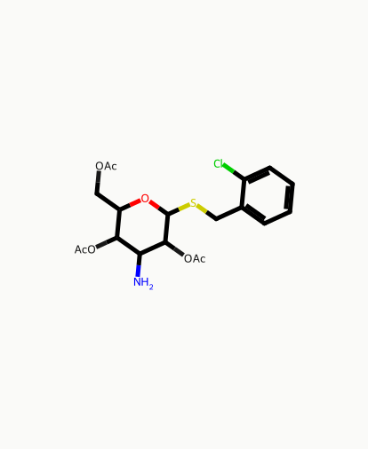 CC(=O)OCC1OC(SCc2ccccc2Cl)C(OC(C)=O)C(N)C1OC(C)=O